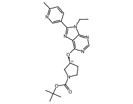 CCn1c(-c2ccc(C)nc2)nc2c(O[C@H]3CCN(C(=O)OC(C)(C)C)C3)ncnc21